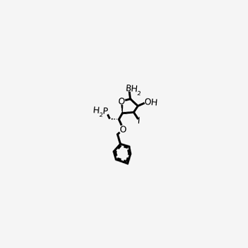 BC1O[C@H]([C@@H](CP)OCc2ccccc2)C(I)C1O